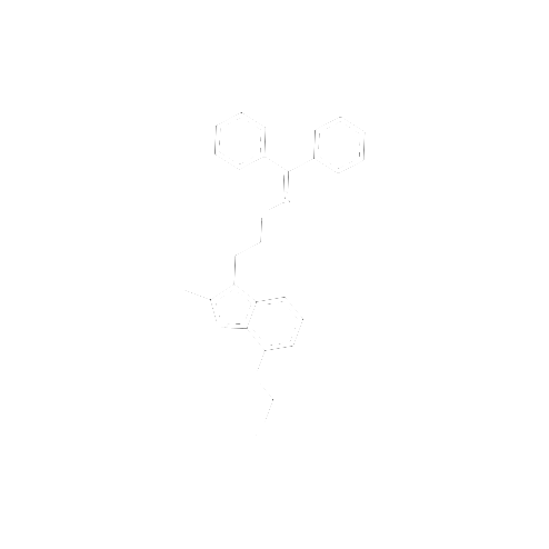 Cc1oc2c(OCC(=O)O)cccc2c1CCON=C(c1ccccc1)c1ccccc1